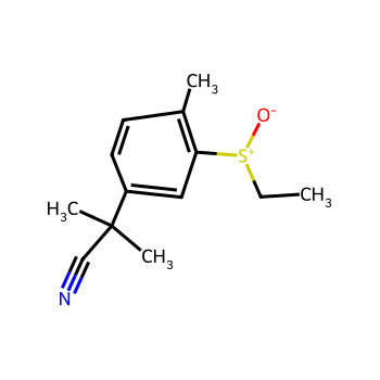 CC[S+]([O-])c1cc(C(C)(C)C#N)ccc1C